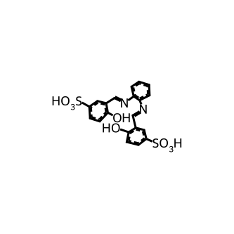 O=S(=O)(O)c1ccc(O)c(C=Nc2ccccc2N=Cc2cc(S(=O)(=O)O)ccc2O)c1